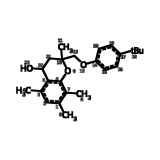 Cc1cc(C)c2c(c1C)OC(C)(COc1[c]cc(C(C)(C)C)cc1)CC2O